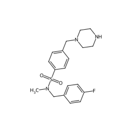 CN(Cc1ccc(F)cc1)S(=O)(=O)c1ccc(CN2CCNCC2)cc1